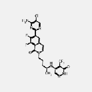 CC(CCCn1ccc2cc(-c3ncc(Cl)c(N)n3)c(F)c(F)c2c1=O)Nc1cn[nH]c(=O)c1C(F)(F)F